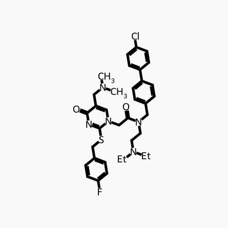 CCN(CC)CCN(Cc1ccc(-c2ccc(Cl)cc2)cc1)C(=O)Cn1cc(CN(C)C)c(=O)nc1SCc1ccc(F)cc1